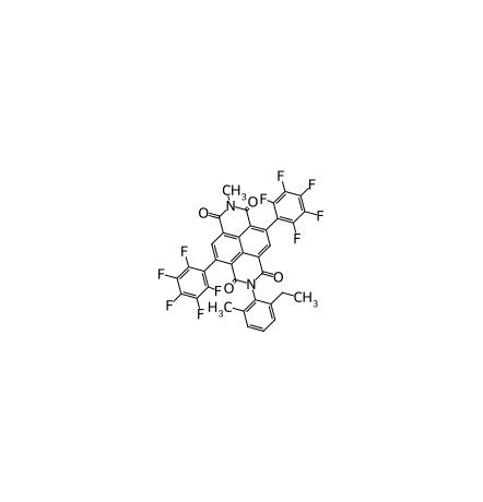 CCc1cccc(C)c1N1C(=O)c2cc(-c3c(F)c(F)c(F)c(F)c3F)c3c4c(cc(-c5c(F)c(F)c(F)c(F)c5F)c(c24)C1=O)C(=O)N(C)C3=O